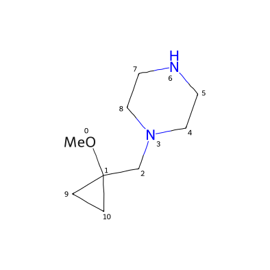 COC1(CN2CCNCC2)CC1